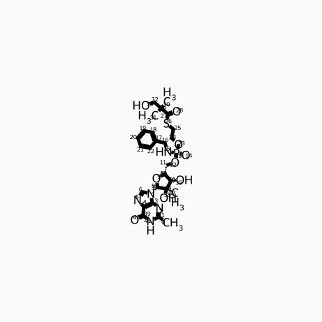 Cc1nc2c(ncn2[C@@H]2O[C@H](COP(=O)(NCc3ccccc3)OCCSC(=O)C(C)(C)CO)[C@@H](O)[C@@]2(C)O)c(=O)[nH]1